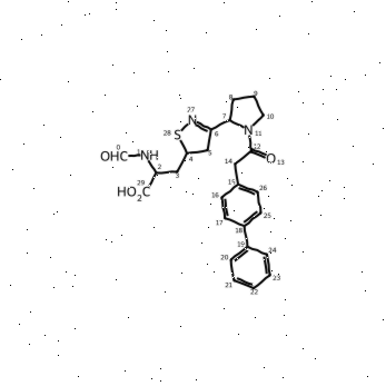 O=CNC(CC1CC(C2CCCN2C(=O)Cc2ccc(-c3ccccc3)cc2)=NS1)C(=O)O